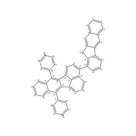 c1ccc2cc3c(cc2c1)sc1c(-c2ccc4c5c(cccc25)-c2c-4c(-c4ccncc4)c4ccccc4c2-c2ccncc2)cccc13